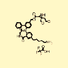 NCCCCCc1ccc2c(c1)C(=O)NCC(=O)N2c1ccc(COC(=O)C2NC2(C=O)CC=O)cc1-c1ccccc1.O=C(O)C(F)(F)F